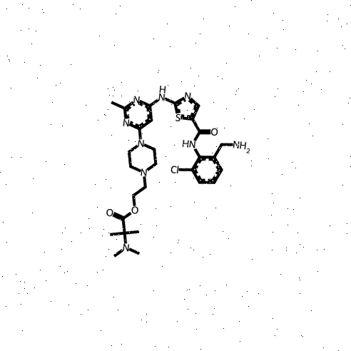 Cc1nc(Nc2ncc(C(=O)Nc3c(Cl)cccc3CN)s2)cc(N2CCN(CCOC(=O)C(C)(C)N(C)C)CC2)n1